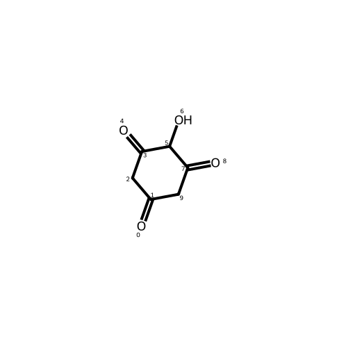 O=C1CC(=O)C(O)C(=O)C1